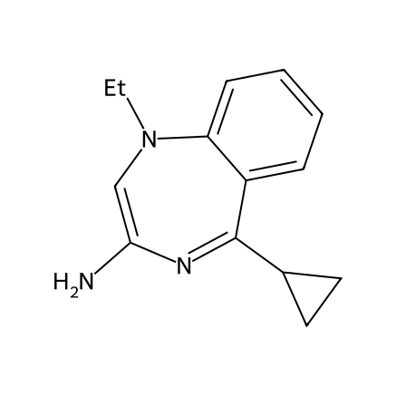 CCN1C=C(N)N=C(C2CC2)c2ccccc21